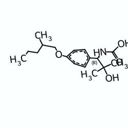 CCCC(C)COc1ccc([C@@H](NC(=O)O)C(C)(C)O)cc1